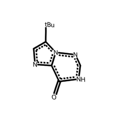 CC(C)(C)c1cnc2c(=O)[nH]cnn12